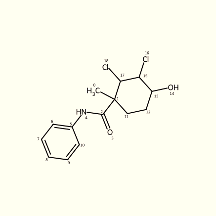 CC1(C(=O)Nc2ccccc2)CCC(O)C(Cl)C1Cl